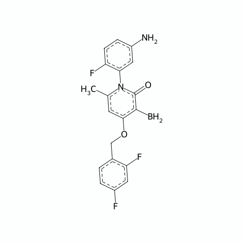 Bc1c(OCc2ccc(F)cc2F)cc(C)n(-c2cc(N)ccc2F)c1=O